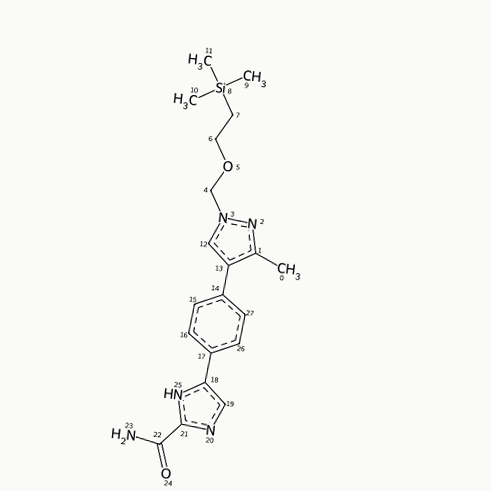 Cc1nn(COCC[Si](C)(C)C)cc1-c1ccc(-c2cnc(C(N)=O)[nH]2)cc1